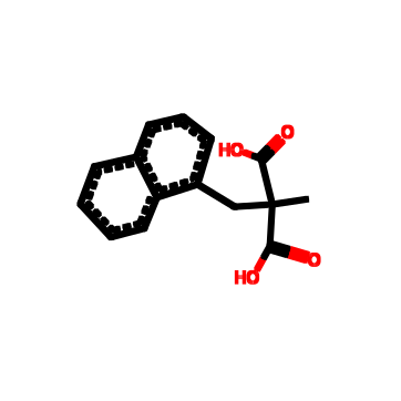 CC(Cc1cccc2ccccc12)(C(=O)O)C(=O)O